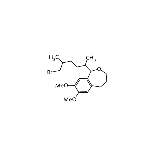 COc1cc2c(cc1OC)C(C(C)CCC(C)CBr)OCCC2